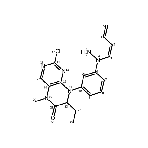 C=C/C=C\N(N)c1cccc(N2c3nc(Cl)ncc3N(C)C(=O)C2CC)c1